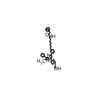 Cc1nn2c(N3CCN(CCO)CC3)cc(-c3cccc(CCCCCCCNC(=O)CC45CCCC(C4)C5)c3)nc2c1-c1ccccc1